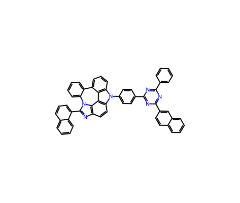 c1ccc(-c2nc(-c3ccc(-n4c5cccc6c7ccccc7n7c(-c8cccc9ccccc89)nc8ccc4c(c65)c87)cc3)nc(-c3ccc4ccccc4c3)n2)cc1